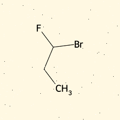 CCC(F)Br